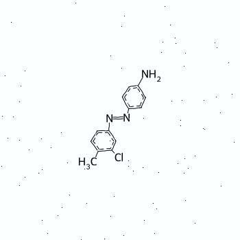 Cc1ccc(N=Nc2ccc(N)cc2)cc1Cl